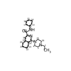 CCN1CCN(c2nc(C(=O)Nc3ccccc3)cc3ccccc23)CC1